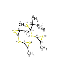 CC1SC1SC1S[C]1(C)[Pb].CC1SC1SC1S[C]1(C)[Pb].[Se]